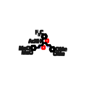 COc1ccc(/C=C/C(=O)C(C(=O)/C=C/c2ccc(OC)c(OC)c2)C(NC(C)=O)c2cccc(C(F)(F)F)c2)cc1OC